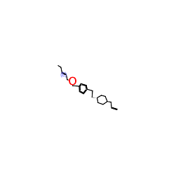 C=CC[C@H]1CC[C@H](CCc2ccc(COC/C=C/CC)cc2)CC1